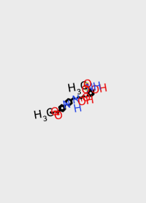 CCOC(=O)c1ccc(N2CCC(CNC[C@H](O)COc3ccc(O)c(NS(C)(=O)=O)c3)CC2)cc1